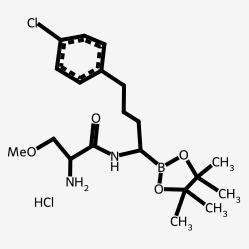 COCC(N)C(=O)NC(CCCc1ccc(Cl)cc1)B1OC(C)(C)C(C)(C)O1.Cl